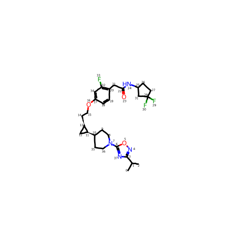 CC(C)c1noc(N2CCC([C@H]3C[C@H]3CCOc3ccc(CC(=O)NC4CCC(F)(F)C4)c(F)c3)CC2)n1